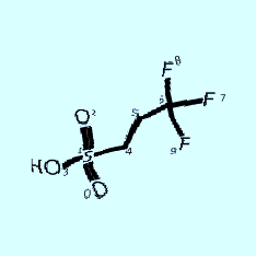 O=S(=O)(O)CCC(F)(F)F